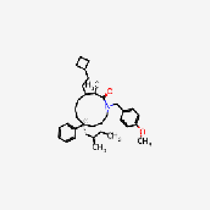 CCC(C)C[C@]1(c2ccccc2)CCCC(CCC2CCC2)C(C)C(=O)N(Cc2ccc(OC)cc2)CCC1